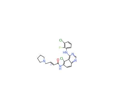 O=C(/C=C/CN1CCCC1)Nc1ccc2ncnc(Nc3cccc(Cl)c3F)c2c1Cl